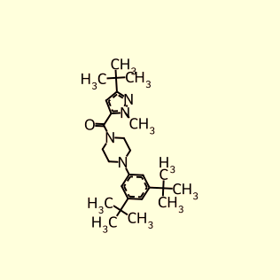 Cn1nc(C(C)(C)C)cc1C(=O)N1CCN(c2cc(C(C)(C)C)cc(C(C)(C)C)c2)CC1